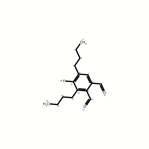 CCCCc1cc(C=O)c(C=O)c(CCCC)c1F